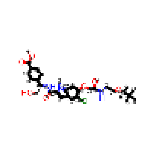 COC(=O)c1ccc([C@@H](CO)NC(=O)c2cc3cc(Cl)c(OCC(=O)NCCO[Si](C)(C)C(C)(C)C)cc3n2C)cc1